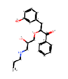 CCCNCC(O)COC(Cc1cccc(O)c1)C(=O)c1ccccc1